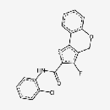 O=C(Nc1ccccc1Cl)c1sc2c(c1F)COc1ccccc1-2